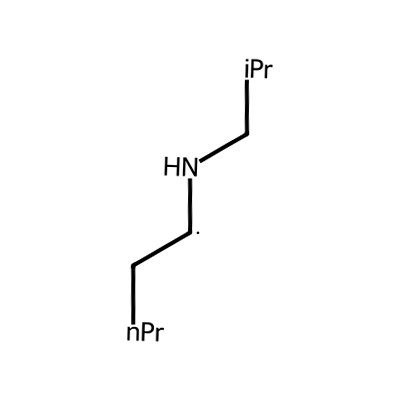 CCCC[CH]NCC(C)C